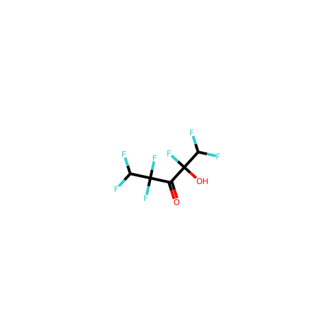 O=C(C(O)(F)C(F)F)C(F)(F)C(F)F